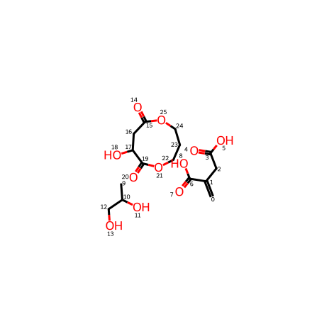 C=C(CC(=O)O)C(=O)O.CC(O)CO.O=C1CC(O)C(=O)OCCCO1